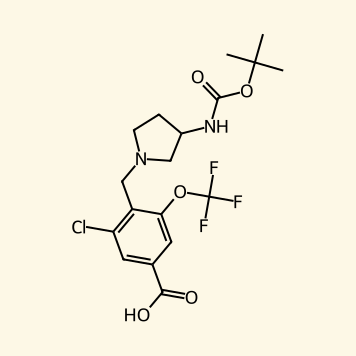 CC(C)(C)OC(=O)NC1CCN(Cc2c(Cl)cc(C(=O)O)cc2OC(F)(F)F)C1